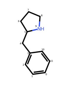 c1ccc(CC2CCCN2)cc1